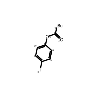 CCC(C)C(=O)Oc1ccc(I)cc1